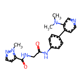 CN(C)c1cnccc1-c1ccc(NC(=O)CNC(=O)c2ccnn2C)cc1